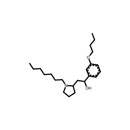 CCCCCCCN1CCCC1CC(O)c1cccc(OCCCC)c1